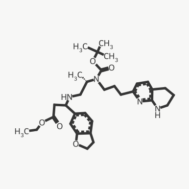 CCOC(=O)CC(NC[C@H](C)N(CCCc1ccc2c(n1)NCCC2)C(=O)OC(C)(C)C)c1ccc2c(c1)OCC2